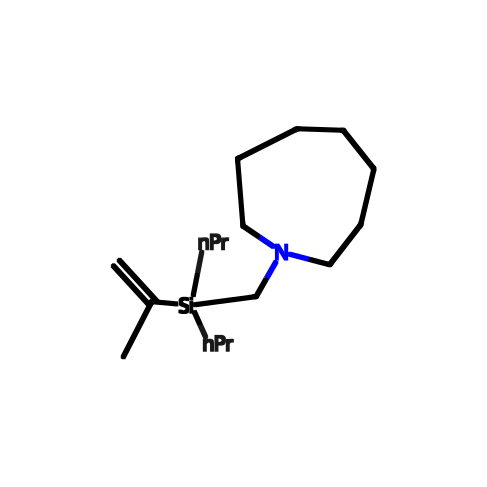 C=C(C)[Si](CCC)(CCC)CN1CCCCCCC1